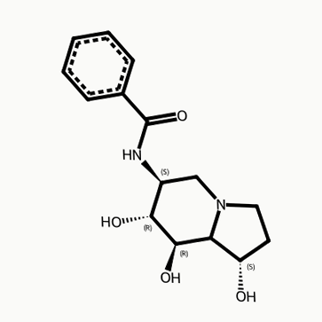 O=C(N[C@H]1CN2CC[C@H](O)C2[C@@H](O)[C@@H]1O)c1ccccc1